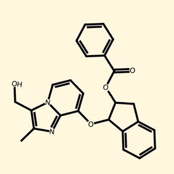 Cc1nc2c(OC3c4ccccc4CC3OC(=O)c3ccccc3)cccn2c1CO